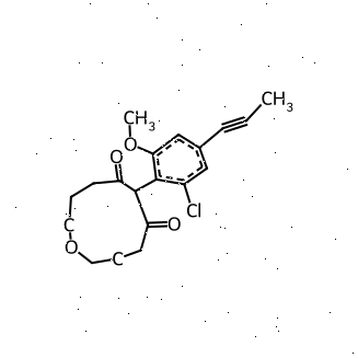 CC#Cc1cc(Cl)c(C2C(=O)CCCOCCCC2=O)c(OC)c1